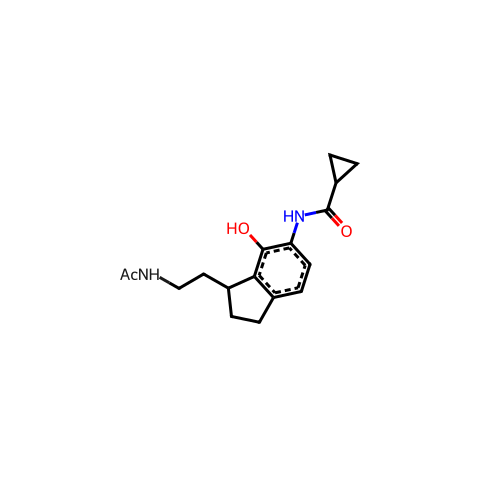 CC(=O)NCCC1CCc2ccc(NC(=O)C3CC3)c(O)c21